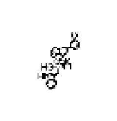 COc1cccc(-c2cc3c(c(S(=O)(=O)N[C@@H](CO)Cc4c[nH]c5ccccc45)c2)OCC3)c1